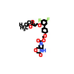 CC(C)(C)OC(=O)CCOc1c(F)cc(F)cc1C1=CC[C@H](OCOC(=O)N2CCC3(COCC(=O)N3)C2)CC1